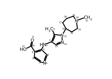 Cc1c(Nc2cnccc2C(=O)O)cnn1C1CCCN(C)CC1